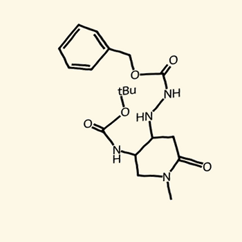 CN1CC(NC(=O)OC(C)(C)C)C(NNC(=O)OCc2ccccc2)CC1=O